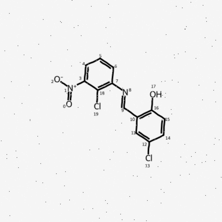 O=[N+]([O-])c1cccc(/N=C/c2cc(Cl)ccc2O)c1Cl